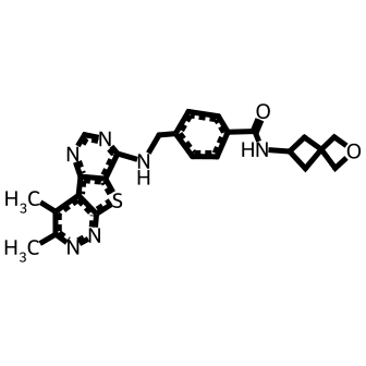 Cc1nnc2sc3c(NCc4ccc(C(=O)NC5CC6(COC6)C5)cc4)ncnc3c2c1C